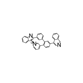 c1cncc(-c2ccc(-c3cncc4ccccc34)cc2-c2cccc(-c3nc4ccccc4s3)c2)c1